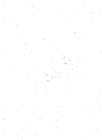 CCCCOc1ccc(C(=O)N[C@H]2COc3cc(CN4CCCC4)ccc3C2)cc1